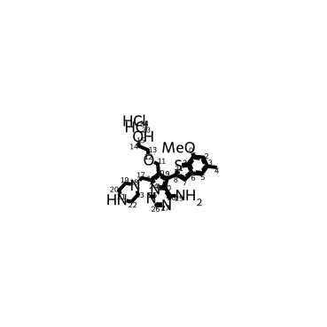 COc1cc(C)cc2cc(-c3c(COCCO)c(CN4CCNCC4)n4ncnc(N)c34)sc12.Cl.Cl